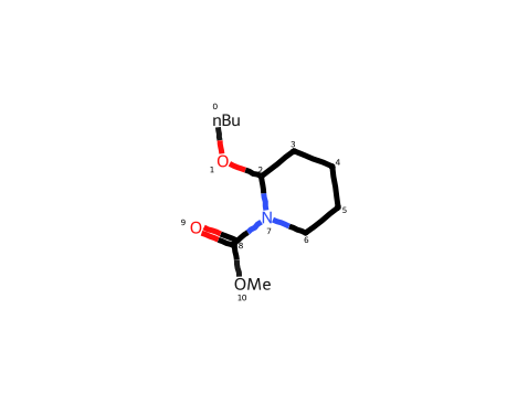 CCCCOC1CCCCN1C(=O)OC